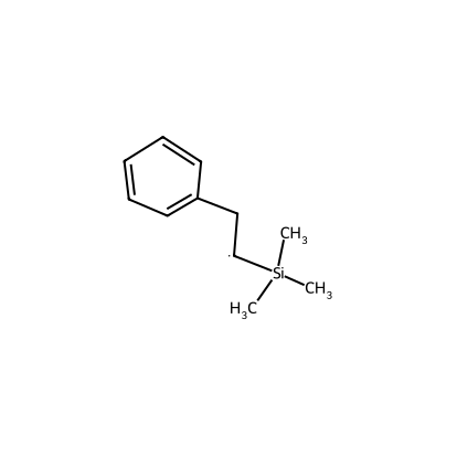 C[Si](C)(C)[CH]Cc1ccccc1